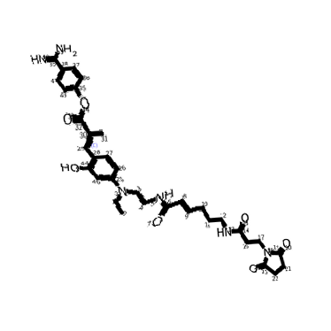 CCN(CCNC(=O)CCCCCNC(=O)CCN1C(=O)CCC1=O)c1ccc(/C=C(\C)C(=O)Oc2ccc(C(=N)N)cc2)c(O)c1